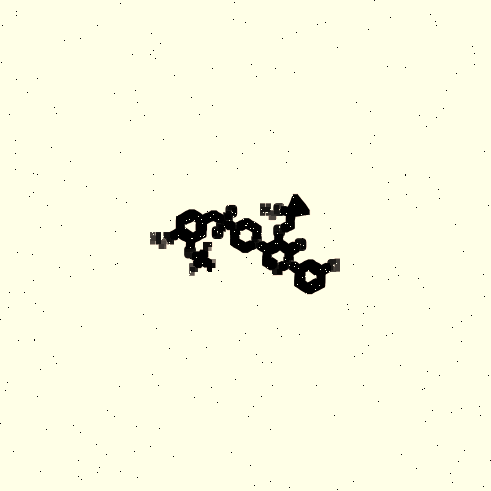 CC1(COc2c(N3CCN(S(=O)(=O)Cc4ccc(N)c(OC(F)(F)F)c4)CC3)cnn(-c3cccc(Cl)c3)c2=O)CC1